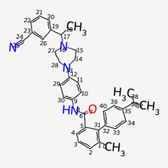 Cc1cccc(C(=O)Nc2ccc(N3CCN(C(C)c4cccc(C#N)c4)CC3)cc2)c1-c1ccc(C(C)C)cc1